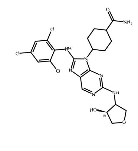 NC(=O)C1CCC(n2c(Nc3c(Cl)cc(Cl)cc3Cl)nc3cnc(NC4COC[C@H]4O)nc32)CC1